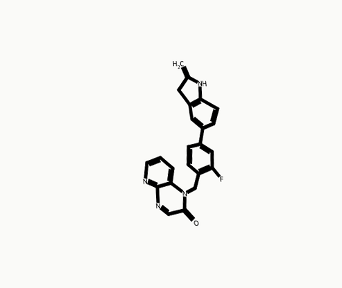 C=C1Cc2cc(-c3ccc(Cn4c(=O)cnc5ncccc54)c(F)c3)ccc2N1